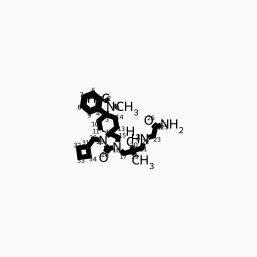 CN(C)[C@]1(c2ccccc2)CC[C@]2(CC1)CN(CC(C)(C)CNCC(N)=O)C(=O)N2CC1CCC1